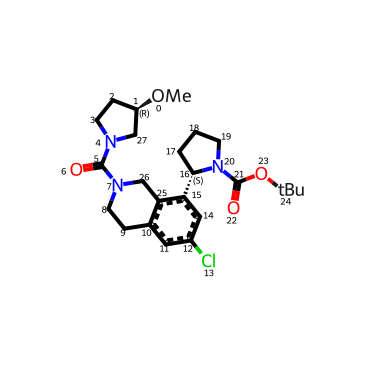 CO[C@@H]1CCN(C(=O)N2CCc3cc(Cl)cc([C@@H]4CCCN4C(=O)OC(C)(C)C)c3C2)C1